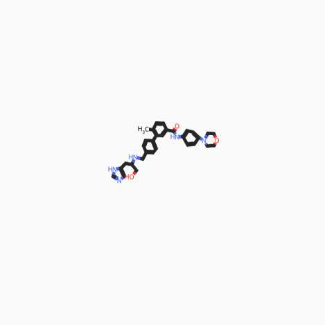 Cc1ccc(C(=O)Nc2ccc(N3CCOCC3)cc2)cc1-c1ccc(CNC(CO)Cc2cnc[nH]2)cc1